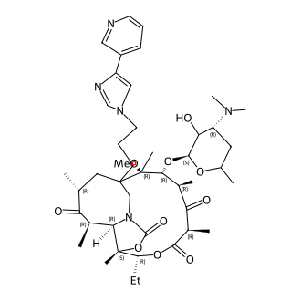 CC[C@H]1OC(=O)[C@H](C)C(=O)[C@H](C)[C@@H](O[C@@H]2OC(C)C[C@@H](N(C)C)C2O)[C@](C)(OC)C2(CCCn3cnc(-c4cccnc4)c3)C[C@@H](C)C(=O)[C@H](C)[C@H]3N(C2)C(=O)O[C@]13C